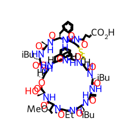 C=C1NC(=O)[C@H]([C@@H](C)CC)NC(=O)[C@@H]2CSSC[C@H](NC(=O)CCC(=O)O)C(=O)N[C@H](Cc3ccccc3)C(=O)N[C@H](C)C(=O)N[C@@H](C[C@@H](C)CC)C(=O)N[C@@H](C(=O)N[C@H](Cc3ccccc3)C(=O)N3CCC[C@H]3C(=O)N2)[C@@H](C)OC(=O)[C@H](CO)NC(=O)[C@H]([C@@H](C)OC)N(C)C(=O)C(CC)NC(=O)[C@H](C[C@H](C)CC)NC1=O